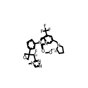 COC[C@H]1CCCN1Cc1cc(C(F)(F)F)c2cn(-c3cccc(C4([C@H](F)c5nncn5C)COC4)c3)c(=O)n2c1